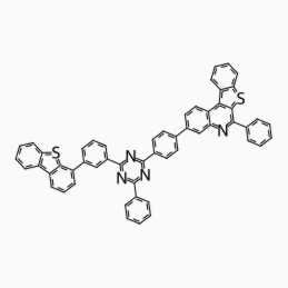 c1ccc(-c2nc(-c3ccc(-c4ccc5c(c4)nc(-c4ccccc4)c4sc6ccccc6c45)cc3)nc(-c3cccc(-c4cccc5c4sc4ccccc45)c3)n2)cc1